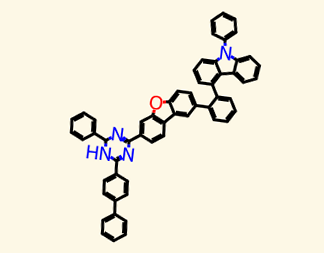 c1ccc(-c2ccc(C3=NC(c4ccc5c(c4)oc4ccc(-c6ccccc6-c6cccc7c6c6ccccc6n7-c6ccccc6)cc45)=NC(c4ccccc4)N3)cc2)cc1